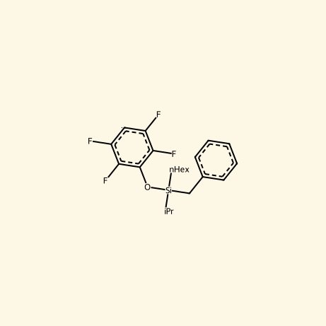 CCCCCC[Si](Cc1ccccc1)(Oc1c(F)c(F)[c]c(F)c1F)C(C)C